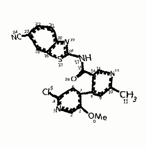 COc1cnc(Cl)cc1-c1cc(C)ncc1C(=O)Nc1nc2ccc(C#N)cc2s1